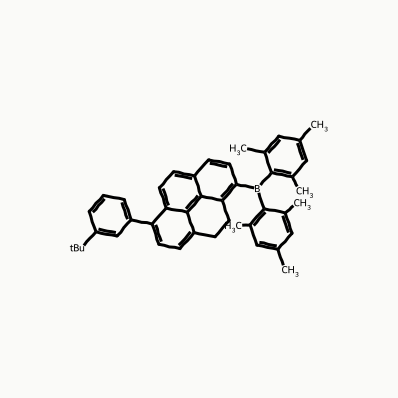 Cc1cc(C)c(B(c2ccc3ccc4c(-c5cccc(C(C)(C)C)c5)ccc5c4c3c2CC5)c2c(C)cc(C)cc2C)c(C)c1